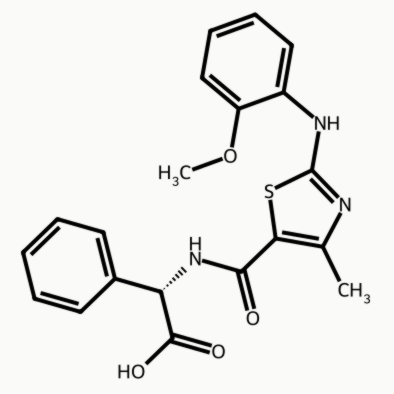 COc1ccccc1Nc1nc(C)c(C(=O)N[C@H](C(=O)O)c2ccccc2)s1